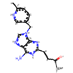 COC(=O)CCc1nc(N)c2ncn(Cc3ccc(C)nc3)c2n1